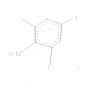 Nc1c(F)cc(Cl)cc1F